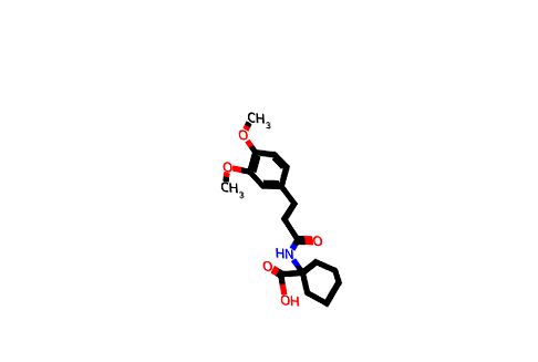 COc1ccc(CCC(=O)NC2(C(=O)O)CCCCC2)cc1OC